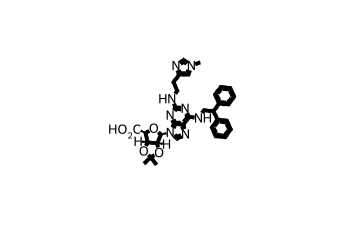 Cn1cnc(CCNc2nc(NCC(c3ccccc3)c3ccccc3)c3ncn([C@@H]4O[C@H](C(=O)O)[C@H]5OC(C)(C)O[C@H]54)c3n2)c1